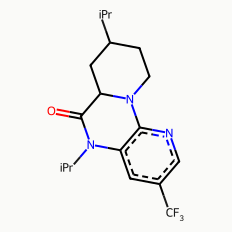 CC(C)C1CCN2c3ncc(C(F)(F)F)cc3N(C(C)C)C(=O)C2C1